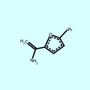 C=C(N)c1ccc(C(C)C)o1